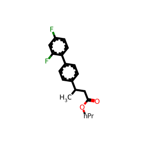 CCCOC(=O)CC(C)c1ccc(-c2ccc(F)cc2F)cc1